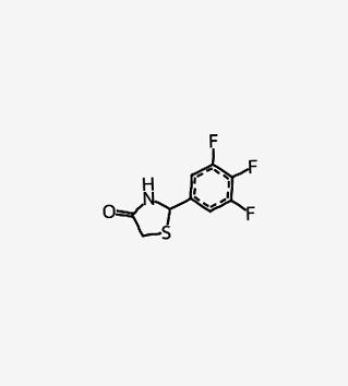 O=C1CSC(c2cc(F)c(F)c(F)c2)N1